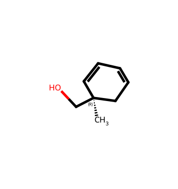 C[C@]1(CO)C=CC=CC1